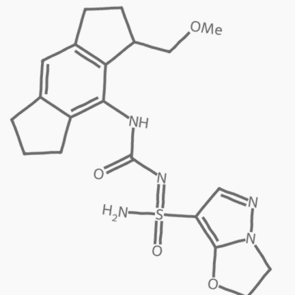 COCC1CCc2cc3c(c(NC(=O)N=S(N)(=O)c4cnn5c4OCC5)c21)CCC3